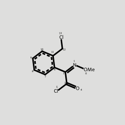 CON=C(C(=O)Cl)c1ccccc1CCl